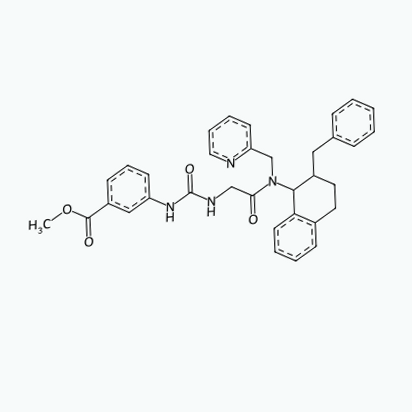 COC(=O)c1cccc(NC(=O)NCC(=O)N(Cc2ccccn2)C2c3ccccc3CCC2Cc2ccccc2)c1